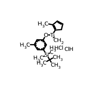 Cl.Cl.[CH2]=[Ti]([O]c1cc(C)cc([Si](C)(C)C(C)(C)C)c1)[C]1=C(C)C=CC1